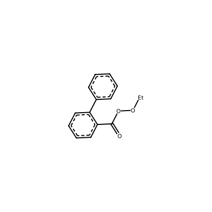 [CH2]COOC(=O)c1ccccc1-c1ccccc1